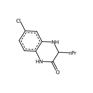 CCCC1Nc2cc(Cl)ccc2NC1=O